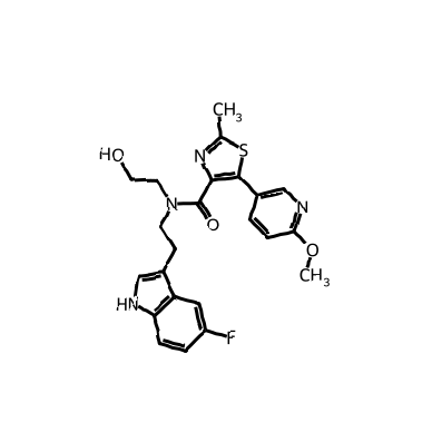 COc1ccc(-c2sc(C)nc2C(=O)N(CCO)CCc2c[nH]c3ccc(F)cc23)cn1